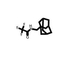 O=C(NCC12CC3CC(CC(C3)C1)C2)C(F)(F)F